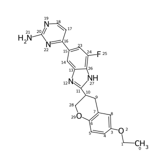 CCOc1ccc2c(c1)CC(c1nc3cc(-c4ccnc(N)n4)cc(F)c3[nH]1)CO2